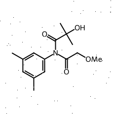 COCC(=O)N(C(=O)C(C)(C)O)c1cc(C)cc(C)c1